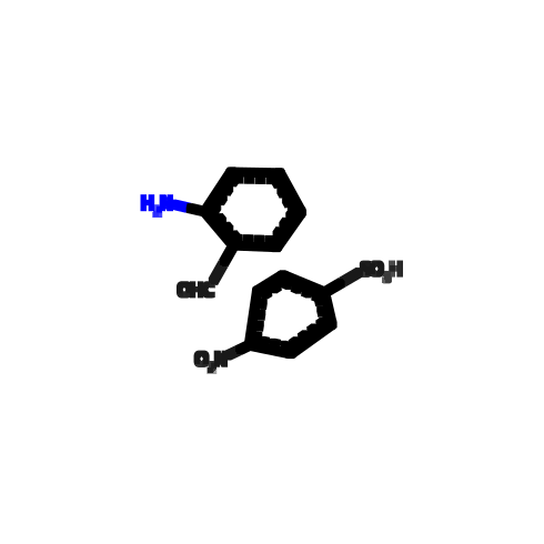 Nc1ccccc1C=O.O=[N+]([O-])c1ccc(S(=O)(=O)O)cc1